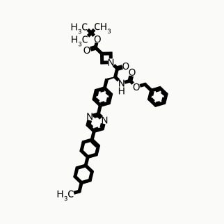 CCC1CCC(C2CC=C(c3cnc(-c4ccc(C[C@H](NC(=O)OCc5ccccc5)C(=O)N5CC(C(=O)OC(C)(C)C)C5)cc4)nc3)CC2)CC1